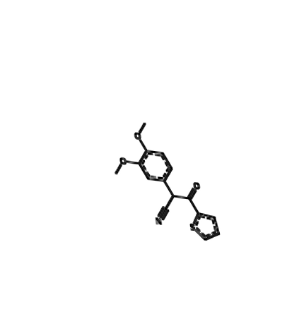 COc1ccc(C(C#N)C(=O)c2cccs2)cc1OC